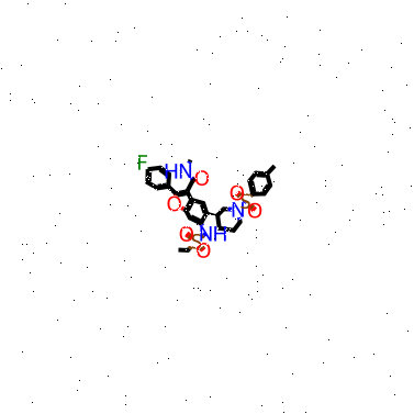 CCS(=O)(=O)Nc1cc2oc(-c3ccc(F)cc3)c(C(=O)NC)c2cc1[C@@H]1CCCN(S(=O)(=O)c2ccc(C)cc2)C1